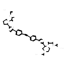 COC(=O)NC(C)C(=O)N1CCN(C(=O)OC)CC1c1nc(-c2ccc(C#Cc3ccc(-c4cnc(C5CCCN5C(=O)C(NC(=O)OC)C(C)C)[nH]4)cc3)cc2)c[nH]1